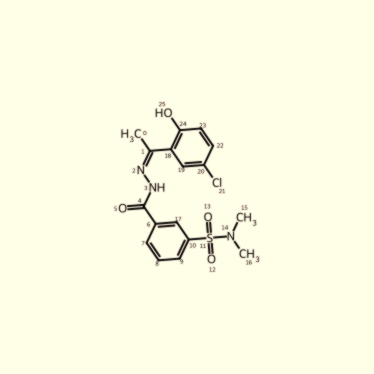 C/C(=N/NC(=O)c1cccc(S(=O)(=O)N(C)C)c1)c1cc(Cl)ccc1O